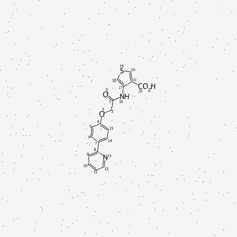 O=C(COc1ccc(-c2ccccn2)cc1)Nc1cscc1C(=O)O